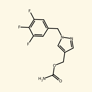 NC(=O)OCc1cnn(Cc2cc(F)c(F)c(F)c2)c1